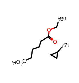 CC(C)(C)COC(=O)CCCCC(=O)O.CCCC1CC1